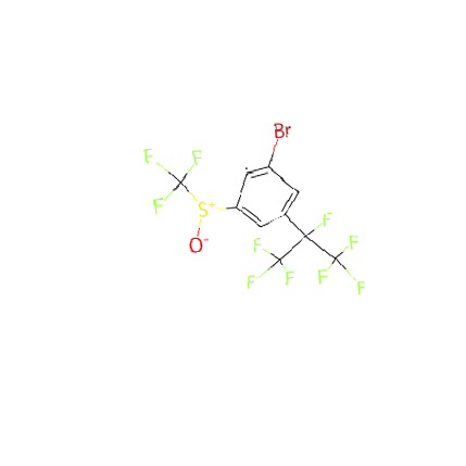 [O-][S+](c1[c]c(Br)cc(C(F)(C(F)(F)F)C(F)(F)F)c1)C(F)(F)F